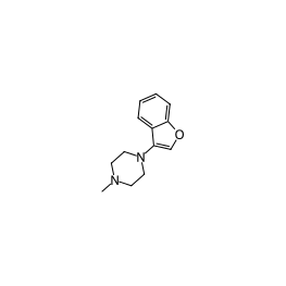 CN1CCN(c2coc3ccccc23)CC1